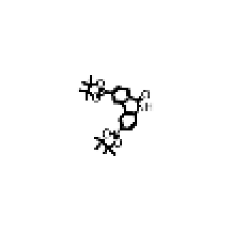 CC1(C)OB(c2ccc3[nH]c(=O)c4ccc(B5OC(C)(C)C(C)(C)O5)cc4c3c2)OC1(C)C